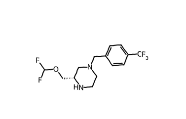 FC(F)OC[C@@H]1CN(Cc2ccc(C(F)(F)F)cc2)CCN1